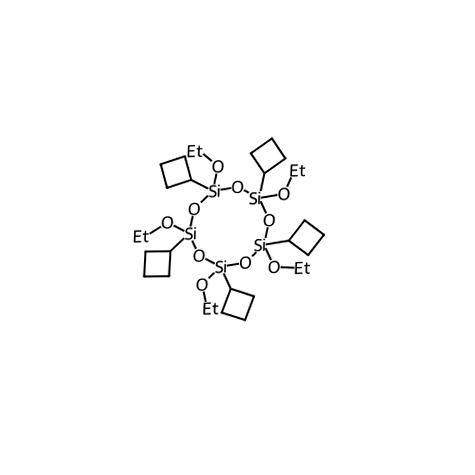 CCO[Si]1(C2CCC2)O[Si](OCC)(C2CCC2)O[Si](OCC)(C2CCC2)O[Si](OCC)(C2CCC2)O[Si](OCC)(C2CCC2)O1